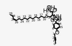 CC#CCOc1ccc(S(=O)(=O)NC(CSCCCCCCCCCC/C=C\CC)C(=O)NO)cc1